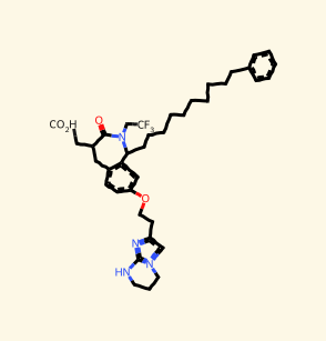 O=C(O)CC1Cc2ccc(OCCc3cn4c(n3)NCCC4)cc2C(CCCCCCCCCCc2ccccc2)N(CC(F)(F)F)C1=O